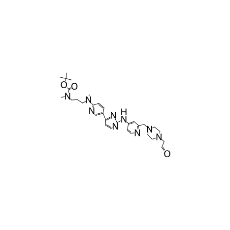 CN(CCCN(C)c1ccc(-c2ccnc(Nc3ccnc(CN4CCN(CC=O)CC4)c3)n2)cn1)C(=O)OC(C)(C)C